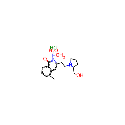 Cc1cccc2c(=O)[nH]c(CCN3CCCC3CO)cc12.Cl.O.O